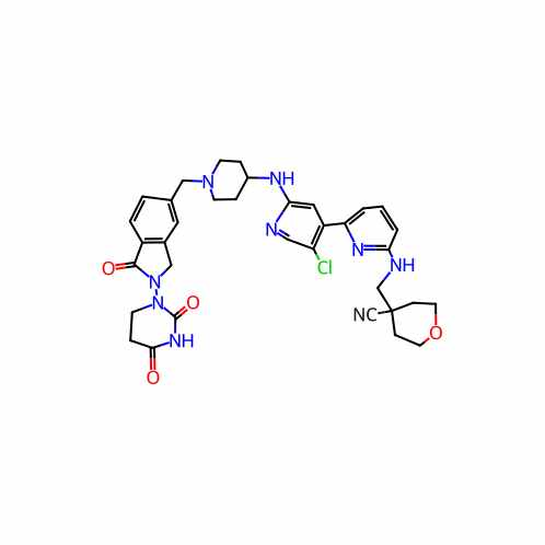 N#CC1(CNc2cccc(-c3cc(NC4CCN(Cc5ccc6c(c5)CN(N5CCC(=O)NC5=O)C6=O)CC4)ncc3Cl)n2)CCOCC1